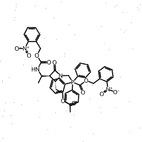 CC(=O)OCC[C@@H]1[C@@H](C(C)NC(=O)OCc2ccccc2[N+](=O)[O-])C(=O)N1CP(C(=O)OCc1ccccc1[N+](=O)[O-])(c1ccccc1)(c1ccccc1)c1ccccc1